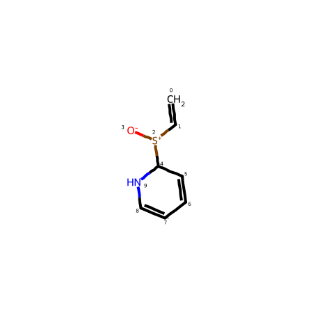 C=C[S+]([O-])C1C=C[C]=CN1